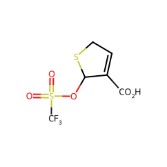 O=C(O)C1=CCSC1OS(=O)(=O)C(F)(F)F